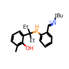 CCC(CC)(Pc1ccccc1/C=N/C(C)(C)C)c1cccc(C)c1O